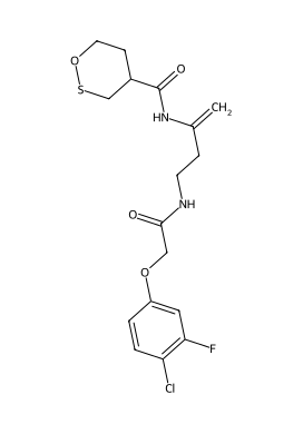 C=C(CCNC(=O)COc1ccc(Cl)c(F)c1)NC(=O)C1CCOSC1